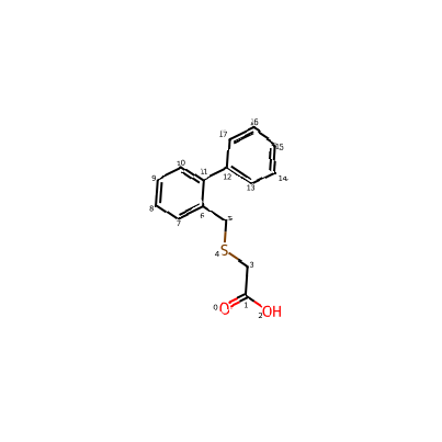 O=C(O)CSCc1ccccc1-c1ccccc1